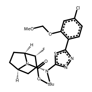 COCOc1cc(Cl)ccc1-c1nnc(N(C)[C@@H]2C[C@H]3CC[C@@H]([C@@H]2F)N3C(=O)OC(C)(C)C)s1